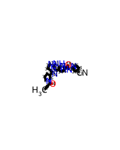 CC#CC(=O)N1CCCC(c2nc(-c3ccc(C(=O)Nc4cc(C#N)ccn4)nc3)n3c(N)nccc23)C1